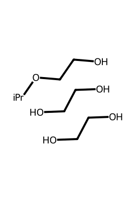 CC(C)OCCO.OCCO.OCCO